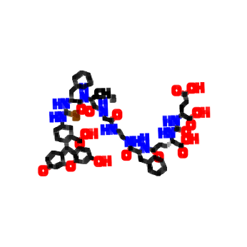 C[C@H](NC(=O)[C@H](Cc1ccccc1)NC(=S)Nc1ccc(-c2c3ccc(=O)cc-3oc3cc(O)ccc23)c(C(=O)O)c1)C(=O)NCC(=O)NCCNC(=O)[C@H](Cc1ccccc1)NC(=O)CC[C@H](NC(=O)N[C@@H](CCC(=O)O)C(=O)O)C(=O)O